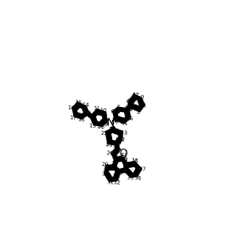 c1ccc(-c2ccc(N(c3ccc(-c4ccccc4)cc3)c3ccc(-c4cc5c6ccccc6c6ccccc6c5o4)cc3)cc2)cc1